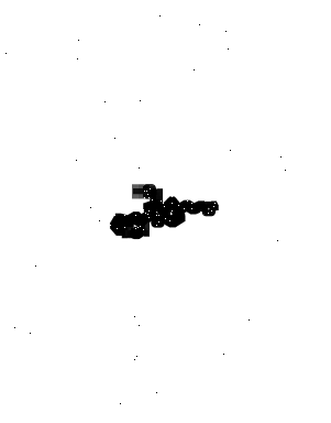 COCCCc1ccc2oc(-c3cc4cccn4cn3)cc(=NO)c2c1